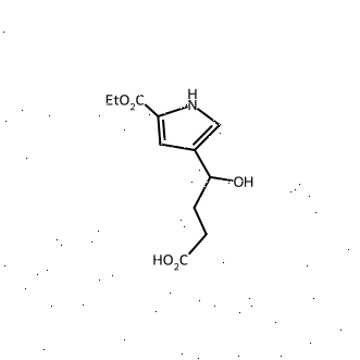 CCOC(=O)c1cc(C(O)CCC(=O)O)c[nH]1